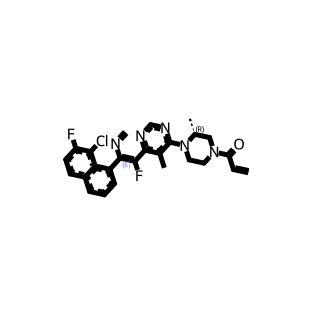 C=CC(=O)N1CCN(c2ncnc(/C(F)=C(\N=C)c3cccc4ccc(F)c(Cl)c34)c2C)[C@H](C)C1